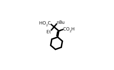 CCCCC(CC)(C(=O)O)C(C(=O)O)=C1CCCCC1